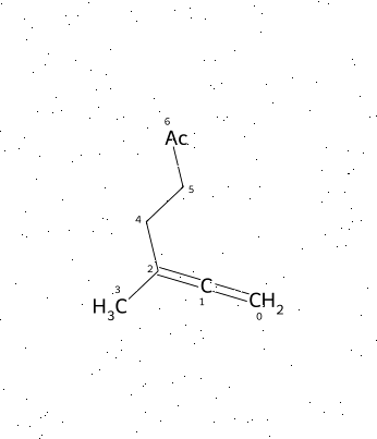 C=C=C(C)CCC(C)=O